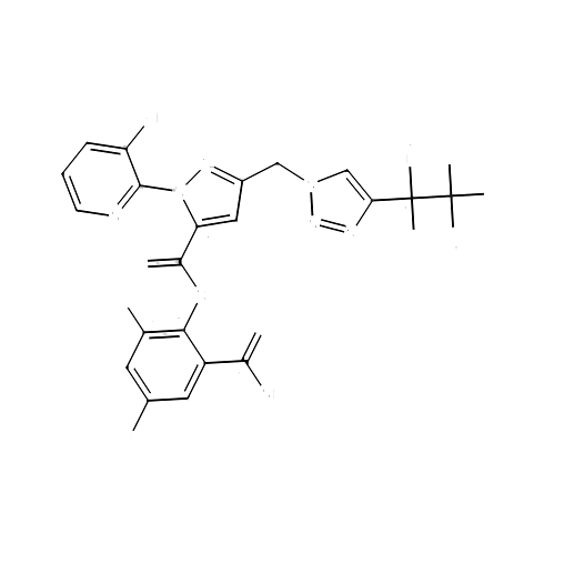 Cc1cccnc1-n1nc(Cn2cc(C(F)(F)C(F)(F)C(F)(F)F)nn2)cc1C(=O)Nc1c(C)cc(I)cc1C(N)=O